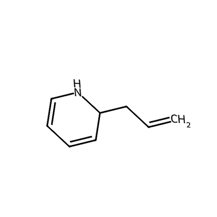 C=CCC1C=CC=CN1